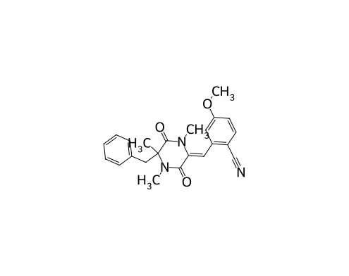 COc1ccc(C#N)c(/C=C2/C(=O)N(C)C(C)(Cc3ccccc3)C(=O)N2C)c1